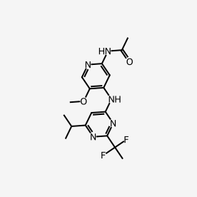 COc1cnc(NC(C)=O)cc1Nc1cc(C(C)C)nc(C(C)(F)F)n1